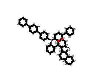 c1ccc(-c2ccc(-c3ccc(N(c4ccc(-c5ccccc5)cc4)c4ccccc4-c4cccc5oc6c7ccccc7ccc6c45)cc3)cc2)cc1